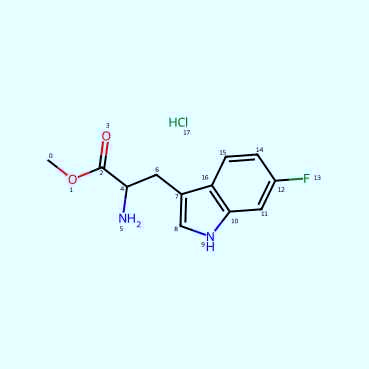 COC(=O)C(N)Cc1c[nH]c2cc(F)ccc12.Cl